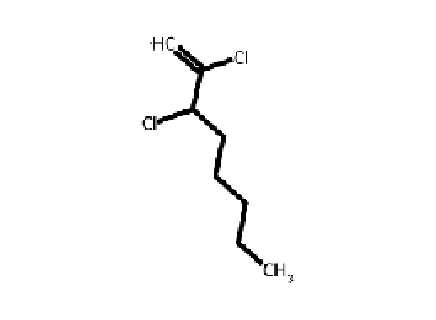 [CH]=C(Cl)C(Cl)CCCCC